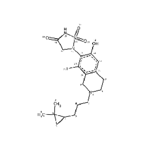 CC1(C)CC1CCCN1CCc2cc(O)c(N3CC(=O)NS3(=O)=O)c(F)c2C1